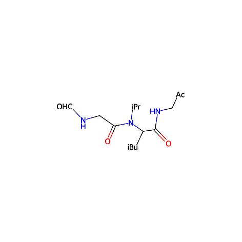 CCC(C)C(C(=O)NCC(C)=O)N(C(=O)CNC=O)C(C)C